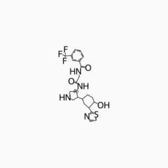 O=C(CNC(=O)c1cccc(C(F)(F)F)c1)N[C@H]1CNCC1C1CCC(O)C(c2nccs2)C1